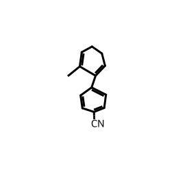 CC1=CCCC=C1c1ccc(C#N)cc1